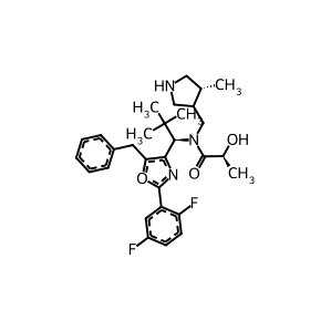 C[C@H](O)C(=O)N(CC1CNC[C@@H]1C)[C@@H](c1nc(-c2cc(F)ccc2F)oc1Cc1ccccc1)C(C)(C)C